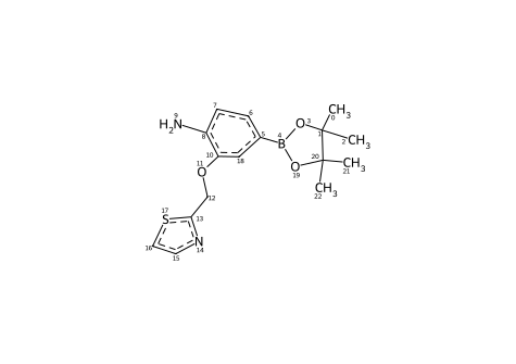 CC1(C)OB(c2ccc(N)c(OCc3nccs3)c2)OC1(C)C